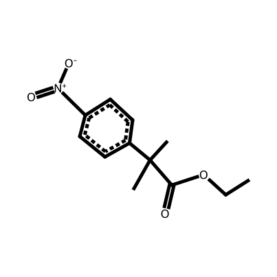 CCOC(=O)C(C)(C)c1ccc([N+](=O)[O-])cc1